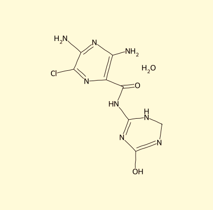 Nc1nc(N)c(C(=O)NC2=NC(O)=NCN2)nc1Cl.O